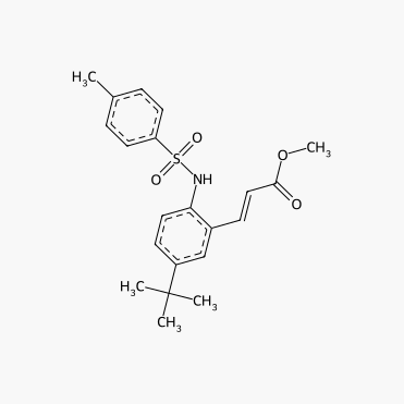 COC(=O)/C=C/c1cc(C(C)(C)C)ccc1NS(=O)(=O)c1ccc(C)cc1